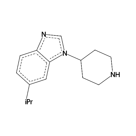 CC(C)c1ccc2ncn(C3CCNCC3)c2c1